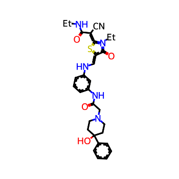 CCNC(=O)C(C#N)=c1sc(=CNc2cccc(NC(=O)CN3CCC(O)(c4ccccc4)CC3)c2)c(=O)n1CC